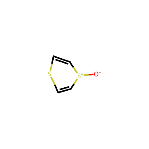 [O-][S+]1C=CSC=C1